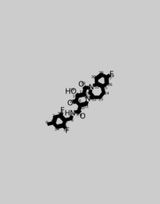 Cc1cc(F)c(CNC(=O)c2cn3c(c(O)c2=O)C(=O)N2CC3CCc3cc(F)ccc32)c(F)c1